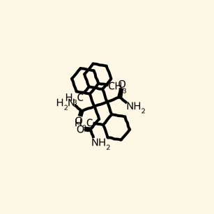 CC1CCCCC1C(CC(N)=O)(C(N)=O)C(C(N)=O)(C1CCCCC1C)C1CCCCC1C